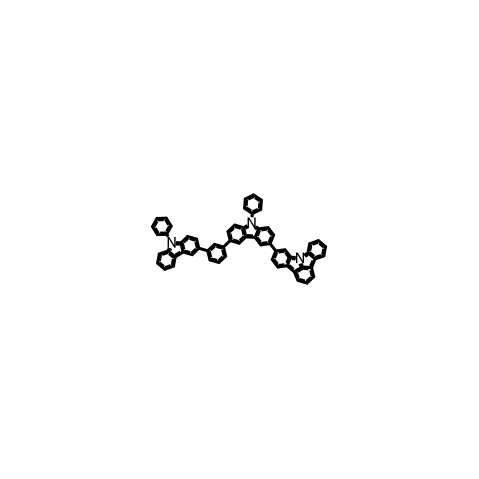 c1ccc(-n2c3ccccc3c3cc(-c4cccc(-c5ccc6c(c5)c5cc(-c7ccc8c9cccc%10c%11ccccc%11n(c8c7)c%109)ccc5n6-c5ccccc5)c4)ccc32)cc1